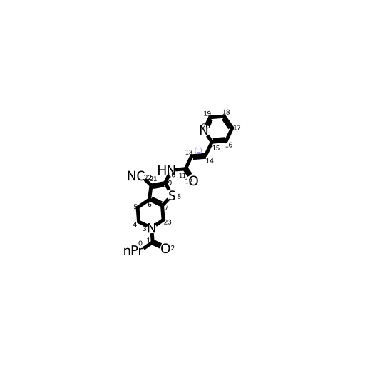 CCCC(=O)N1CCc2c(sc(NC(=O)/C=C/c3ccccn3)c2C#N)C1